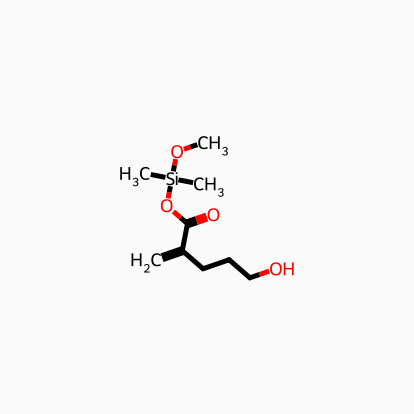 C=C(CCCO)C(=O)O[Si](C)(C)OC